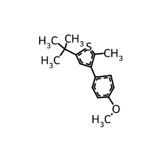 COc1ccc(-c2cc(C(C)(C)C)sc2C)cc1